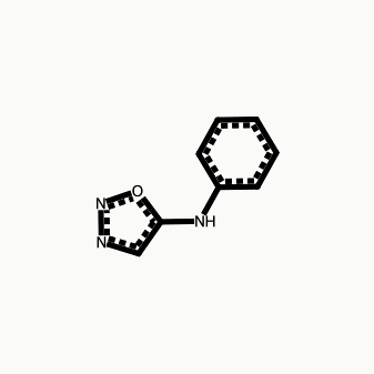 c1ccc(Nc2cnno2)cc1